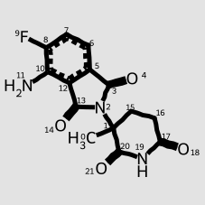 CC1(N2C(=O)c3ccc(F)c(N)c3C2=O)CCC(=O)NC1=O